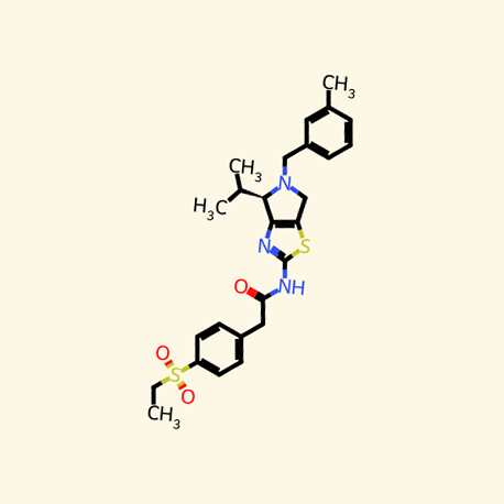 CCS(=O)(=O)c1ccc(CC(=O)Nc2nc3c(s2)CN(Cc2cccc(C)c2)[C@@H]3C(C)C)cc1